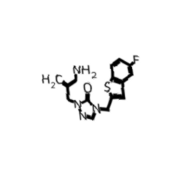 C=C(CN)Cn1ncn(Cc2cc3cc(F)ccc3s2)c1=O